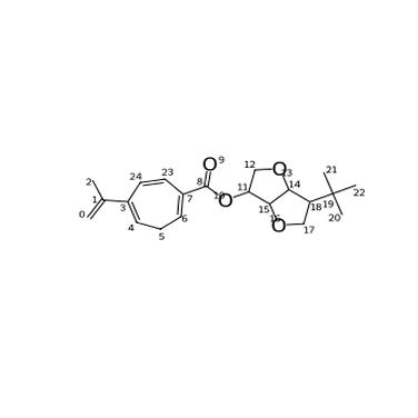 C=C(C)C1=CCC=C(C(=O)OC2COC3C2OCC3C(C)(C)C)C=C1